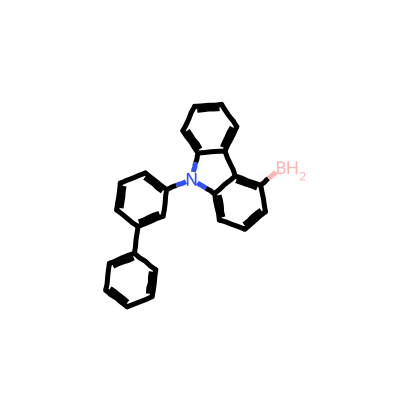 Bc1cccc2c1c1ccccc1n2-c1cccc(-c2ccccc2)c1